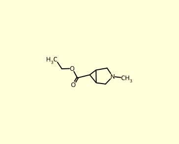 CCOC(=O)C1C2CN(C)CC21